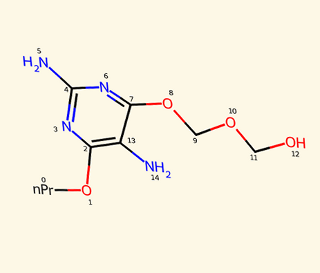 CCCOc1nc(N)nc(OCOCO)c1N